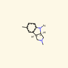 CC(=O)N1c2ccc(C)cc2[C@@H]2CN(C)C[C@@H]21